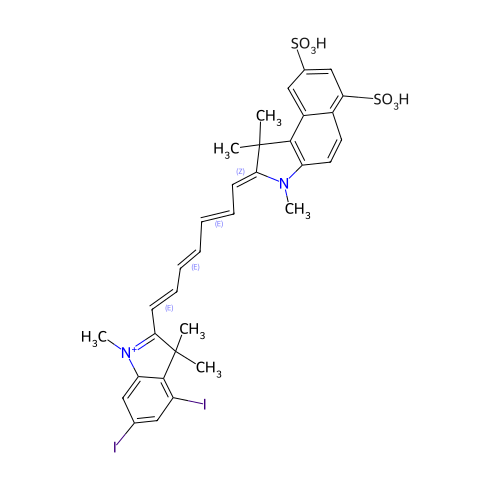 CN1\C(=C/C=C/C=C/C=C/C2=[N+](C)c3cc(I)cc(I)c3C2(C)C)C(C)(C)c2c1ccc1c(S(=O)(=O)O)cc(S(=O)(=O)O)cc21